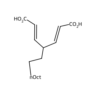 CCCCCCCCCCC(C=CC(=O)O)C=CC(=O)O